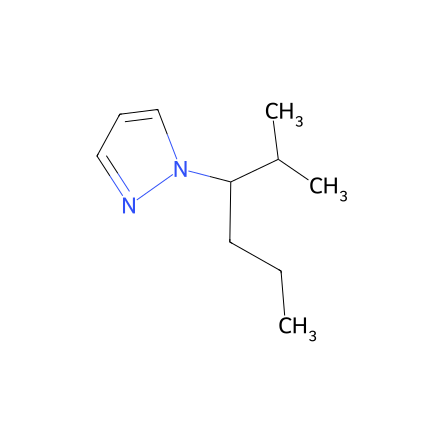 CCCC(C(C)C)n1cccn1